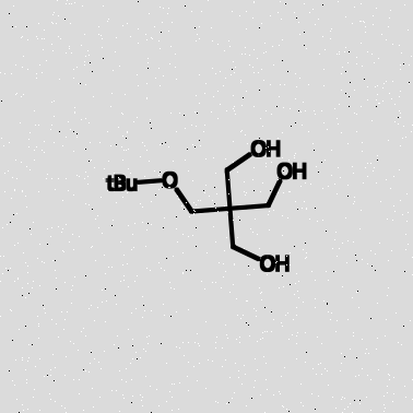 CC(C)(C)OCC(CO)(CO)CO